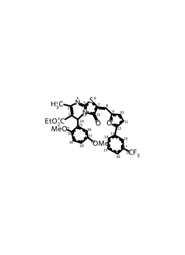 CCOC(=O)C1=C(C)N=c2s/c(=C/c3ccc(-c4cccc(C(F)(F)F)c4)o3)c(=O)n2C1c1cc(OC)ccc1OC